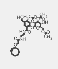 CC(=O)OC[C@H]1O[C@@H](Oc2ccc(CO)cc2C(=O)NCCNC(=O)COC2C#CCCCCC2)[C@H](OC(C)=O)[C@@H](OC(C)=O)[C@@H]1O